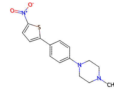 CN1CCN(c2ccc(-c3ccc([N+](=O)[O-])s3)cc2)CC1